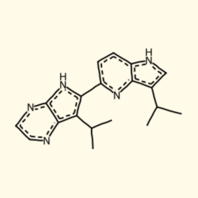 CC(C)c1c[nH]c2ccc(-c3[nH]c4nccnc4c3C(C)C)nc12